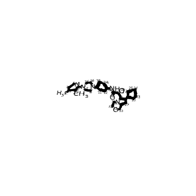 Cc1ccnc(N2CCN(c3ccc(NC(=O)C(=O)c4c(-c5ccccc5)cc5n4CCOC5)cc3)CC2)c1C